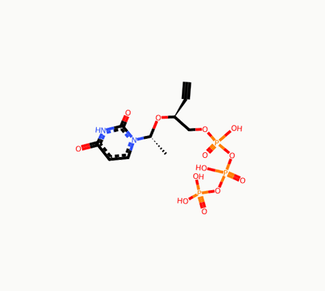 C#C[C@@H](COP(=O)(O)OP(=O)(O)OP(=O)(O)O)O[C@H](C)n1ccc(=O)[nH]c1=O